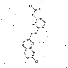 CCC(=O)Oc1cccc(C=Cc2ccc3ccc(Cl)cc3n2)c1C